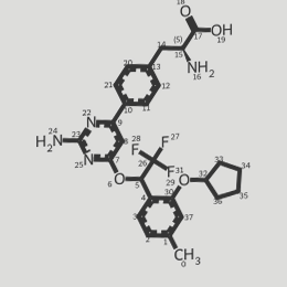 Cc1ccc(C(Oc2cc(-c3ccc(C[C@H](N)C(=O)O)cc3)nc(N)n2)C(F)(F)F)c(OC2CCCC2)c1